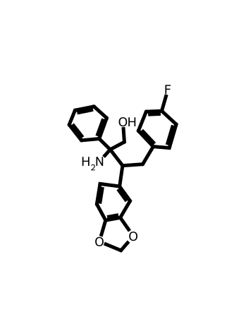 NC(CO)(c1ccccc1)C(Cc1ccc(F)cc1)c1ccc2c(c1)OCO2